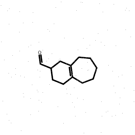 O=CC1CCC2=C(CCCCC2)C1